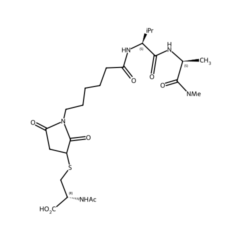 CNC(=O)[C@H](C)NC(=O)[C@@H](NC(=O)CCCCCN1C(=O)CC(SC[C@H](NC(C)=O)C(=O)O)C1=O)C(C)C